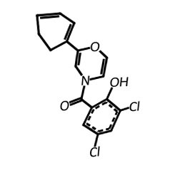 O=C(c1cc(Cl)cc(Cl)c1O)N1C=COC(C2=CC=CCC2)=C1